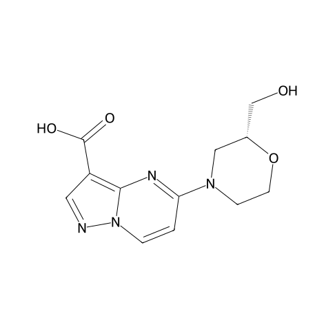 O=C(O)c1cnn2ccc(N3CCO[C@@H](CO)C3)nc12